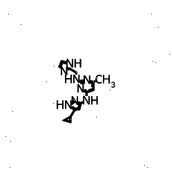 Cc1cc(Nc2cc(C3CC3)[nH]n2)nc(NCc2ncc[nH]2)n1